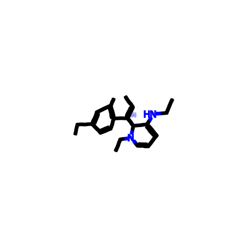 C/C=C(\c1ccc(CC)cc1C)C1C(NCC)=CC=CN1CC